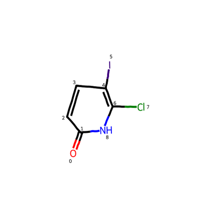 O=c1ccc(I)c(Cl)[nH]1